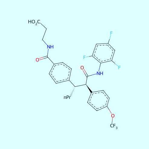 CCC[C@H](c1ccc(C(=O)NCCC(=O)O)cc1)[C@@H](C(=O)Nc1c(F)cc(F)cc1F)c1ccc(OC(F)(F)F)cc1